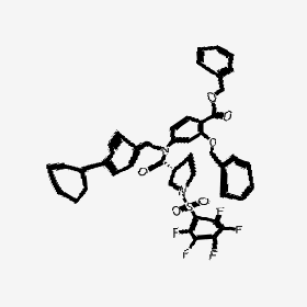 O=C(OCc1ccccc1)c1ccc(N(Cc2ccc(C3CCCCC3)cc2)C(=O)[C@@H]2CCN(S(=O)(=O)c3c(F)c(F)c(F)c(F)c3F)C2)cc1OCc1ccccc1